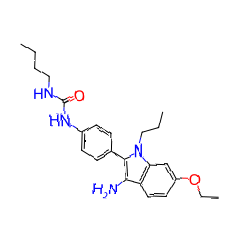 CCCCNC(=O)Nc1ccc(-c2c(N)c3ccc(OCC)cc3n2CCC)cc1